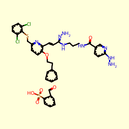 NN=C(/C=C/c1nc(CSc2c(Cl)cccc2Cl)ccc1OCCc1ccccc1)NCCCNC(=O)c1ccc(NN)nc1.O=Cc1ccccc1S(=O)(=O)O